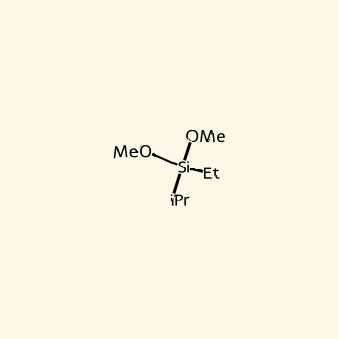 CC[Si](OC)(OC)C(C)C